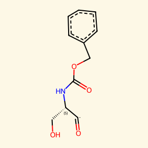 O=[C][C@H](CO)NC(=O)OCc1ccccc1